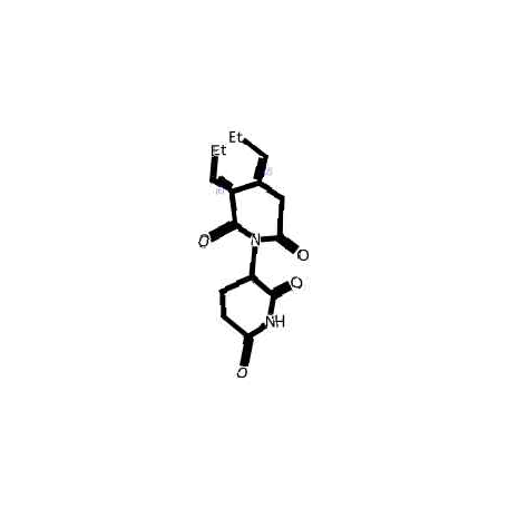 CC/C=C1/CC(=O)N(C2CCC(=O)NC2=O)C(=O)/C1=C/CC